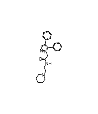 O=C(Cn1ncc(-c2ccccc2)c1-c1ccccc1)NCCN1CCCCC1